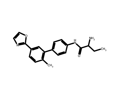 CCC(N)C(=O)Nc1ccc(-c2cc(-c3ncco3)ccc2C)cc1